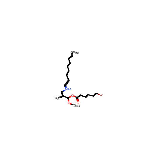 C=C(CNCCCCCCCCCCCCCCCCCC)C(OC=O)OC(=O)CCCCCBr